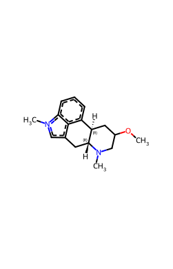 COC1C[C@@H]2c3cccc4c3c(cn4C)C[C@H]2N(C)C1